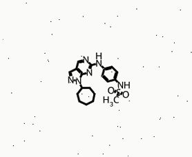 CS(=O)(=O)Nc1ccc(Nc2ncc3cnn(C4CCCCCC4)c3n2)cc1